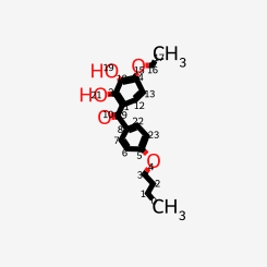 CCCCOc1ccc(C(=O)c2ccc(OCC)c(O)c2O)cc1